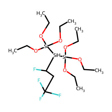 CCO[Si](OCC)(OCC)[SiH](C(F)CC(F)(F)F)[Si](OCC)(OCC)OCC